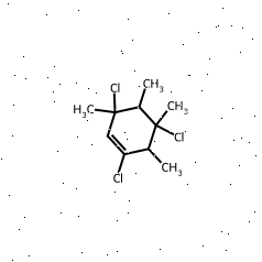 CC1C(Cl)=CC(C)(Cl)C(C)C1(C)Cl